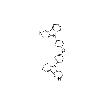 C1=C(Oc2ccc(-n3c4ccccc4c4cnccc43)cc2)CCC(n2c3ccccc3c3cnccc32)=C1